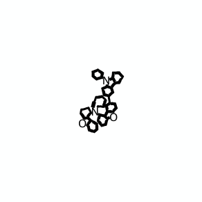 C#C/C=C\C=C/CN(C1=c2c(oc3ccccc23)=CCC1)c1cccc2oc3ccc(-c4ccc5c(c4)c4ccccc4n5-c4ccccc4)cc3c12